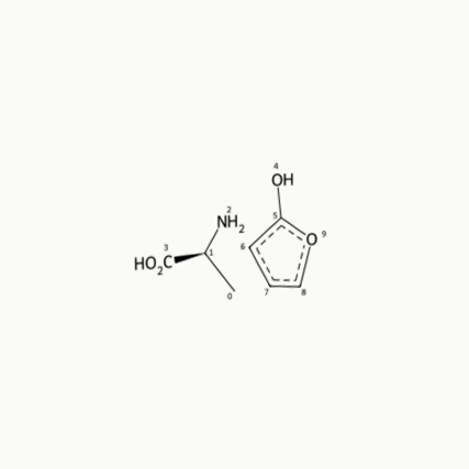 C[C@H](N)C(=O)O.Oc1ccco1